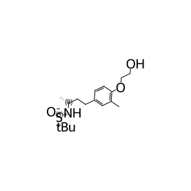 Cc1cc(CC[C@@H](C)N[S@+]([O-])C(C)(C)C)ccc1OCCO